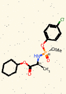 CO[P@](=O)(N[C@@H](C)C(=O)OC1CCCCC1)Oc1ccc(Cl)cc1